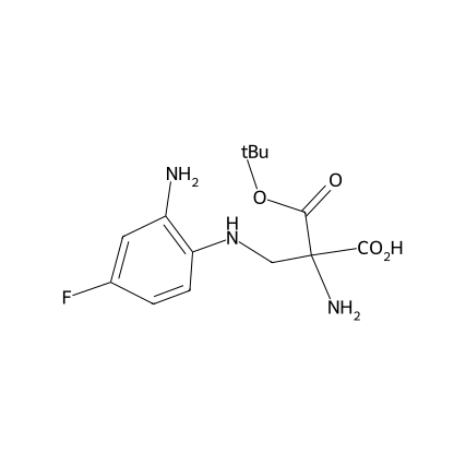 CC(C)(C)OC(=O)C(N)(CNc1ccc(F)cc1N)C(=O)O